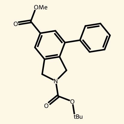 COC(=O)c1cc2c(c(-c3ccccc3)c1)CN(C(=O)OC(C)(C)C)C2